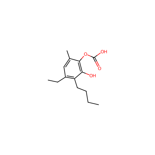 CCCCc1c(CC)cc(C)c(OC(=O)O)c1O